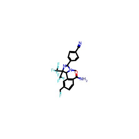 CN1C(c2ccc(C#N)cc2)=NC(C(F)(F)F)(C(F)(F)F)C1c1cc(CF)ccc1C(N)=O